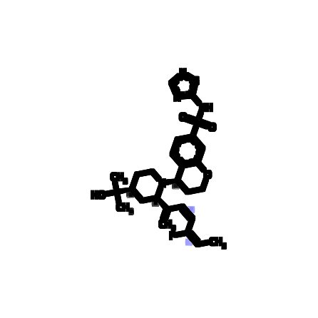 C=C(/C=C\C(F)=C/C)[C@H]1C[C@@H](C(C)(C)O)CCN1[C@@H]1CCOc2cc(S(=O)(=O)Nc3ncns3)ccc21